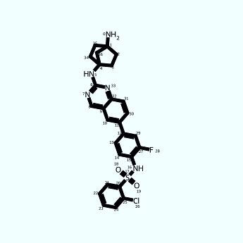 NC12CCC(Nc3ncc4cc(-c5ccc(NS(=O)(=O)c6ccccc6Cl)c(F)c5)ccc4n3)(CC1)C2